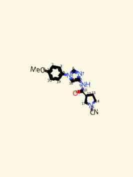 COc1ccc(-n2cnc(NC(=O)[C@H]3CCN(C#N)C3)c2)cc1